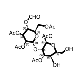 CC(=O)OC[C@H]1O[C@H](O[C@@H]2[C@@H](OC(C)=O)O[C@@H](CO)[C@@H](O)[C@@H]2OC(C)=O)[C@@H](OC(C)=O)[C@@H](OC(C)=O)[C@@H]1OC=O